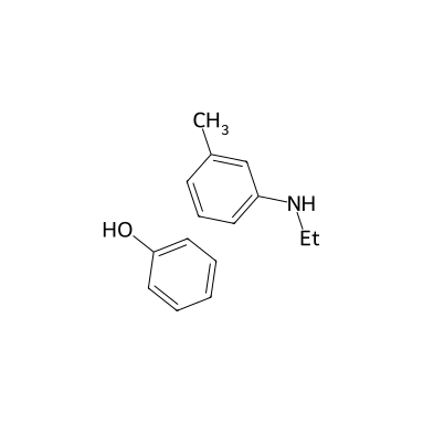 CCNc1cccc(C)c1.Oc1ccccc1